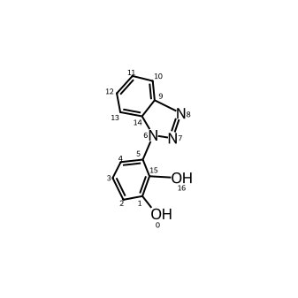 Oc1cccc(-n2nnc3ccccc32)c1O